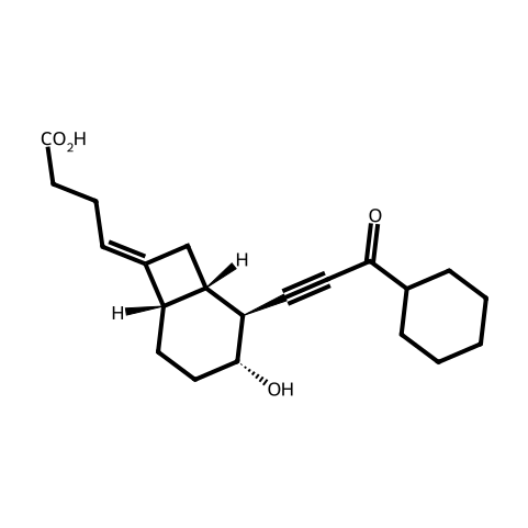 O=C(O)CC/C=C1\C[C@@H]2[C@@H](C#CC(=O)C3CCCCC3)[C@H](O)CC[C@H]12